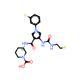 O=C(NCCF)Nc1cn(-c2cccc(F)c2)cc1C(=O)N[C@H]1CCCN(C(=O)O)C1